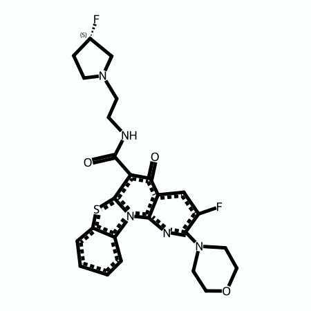 O=C(NCCN1CC[C@H](F)C1)c1c(=O)c2cc(F)c(N3CCOCC3)nc2n2c1sc1ccccc12